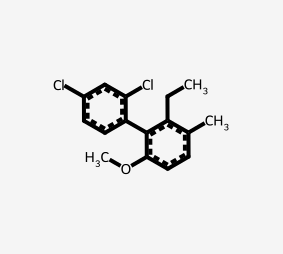 CCc1c(C)ccc(OC)c1-c1ccc(Cl)cc1Cl